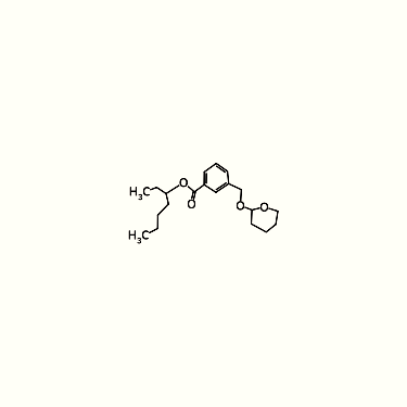 CCCCC(CC)OC(=O)c1cccc(COC2CCCCO2)c1